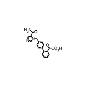 NC(=O)c1cncn1Cc1ccc(-c2ccccc2C(=O)C(=O)O)cc1